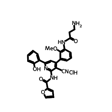 COc1c(NC(=O)CCN)cccc1-c1cc(-c2ccccc2O)nc(NC(=O)c2ccco2)c1C#N.Cl